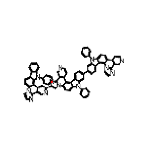 c1ccc(-n2c3cc(-c4ccc5c6c(ccc7c8ccncc8c8nccn8c76)n(-c6ccccc6)c5c4)ccc3c3c4c5ccncc5c5nc(-c6cc7c(cn6)c6nccn6c6ccc8c9ccccc9n(-c9ccccc9)c8c76)cn5c4ccc32)cc1